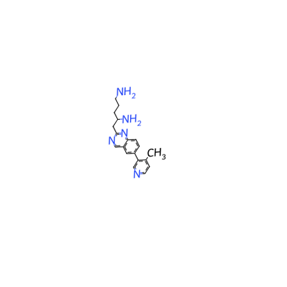 Cc1ccncc1-c1ccc2nc(CC(N)CCCN)ncc2c1